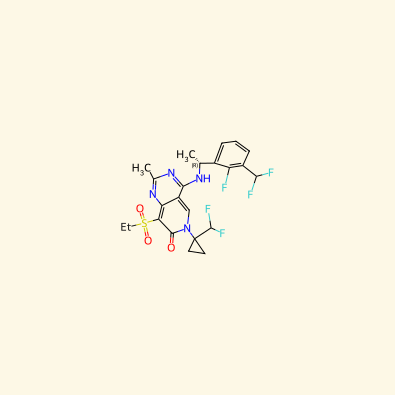 CCS(=O)(=O)c1c(=O)n(C2(C(F)F)CC2)cc2c(N[C@H](C)c3cccc(C(F)F)c3F)nc(C)nc12